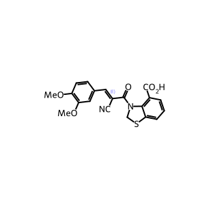 COc1ccc(/C=C(\C#N)C(=O)N2CSc3cccc(C(=O)O)c32)cc1OC